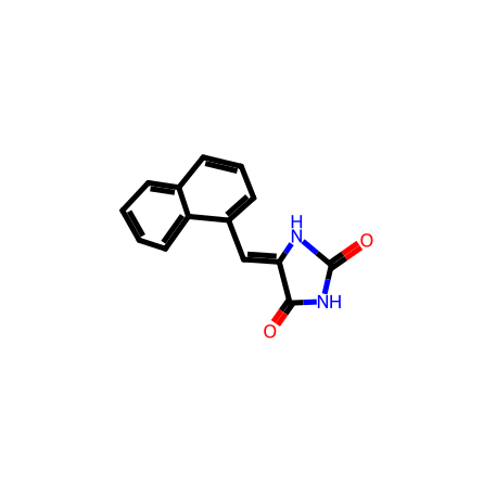 O=C1NC(=O)/C(=C/c2cccc3ccccc23)N1